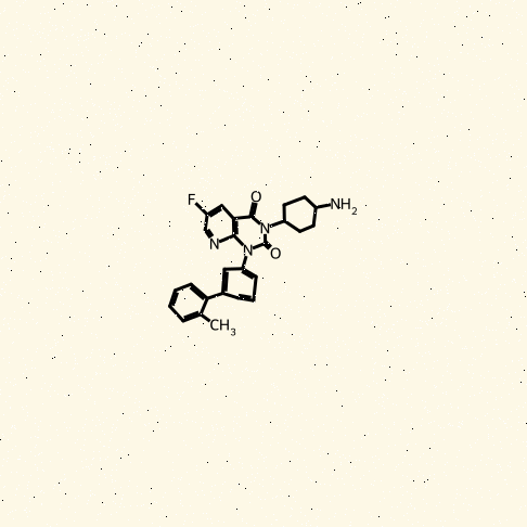 Cc1ccccc1-c1cccc(-n2c(=O)n(C3CCC(N)CC3)c(=O)c3cc(F)cnc32)c1